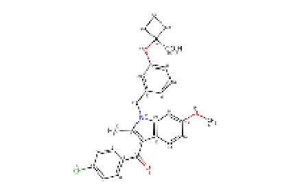 Cc1c(C(=O)c2ccc(Cl)cc2)c2ccc(OC(F)(F)F)cc2n1Cc1cccc(OC2(C(=O)O)CCC2)c1